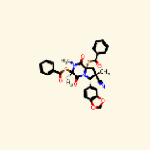 CN1C(=O)[C@]2(SC(=O)c3ccccc3)C[C@](C)(C#N)[C@H](c3ccc4c(c3)OCO4)N2C(=O)[C@]1(C)SC(=O)c1ccccc1